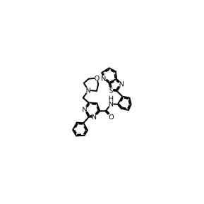 O=C(Nc1ccccc1-c1nc2cccnc2s1)c1cc(CN2CCOCC2)nc(-c2ccccc2)n1